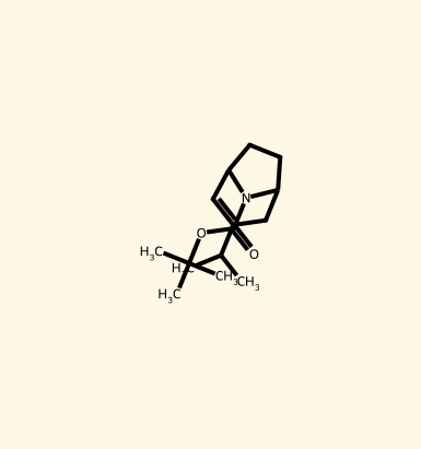 CC(C)C1=CC2CCC(C1)N2C(=O)OC(C)(C)C